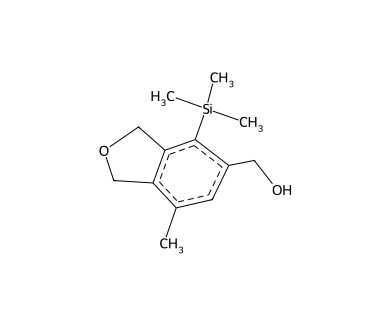 Cc1cc(CO)c([Si](C)(C)C)c2c1COC2